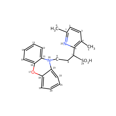 Cc1ccc(C)c(C(CCN2c3ccccc3Oc3ccccc32)S(=O)(=O)O)n1